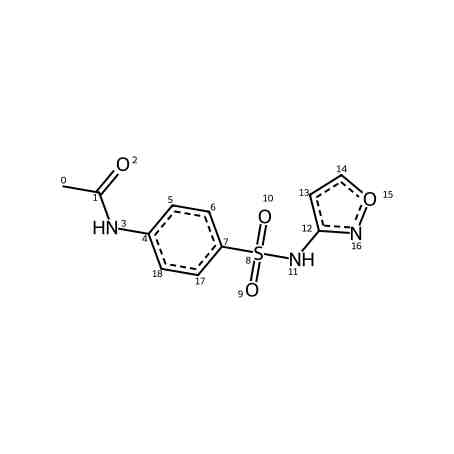 CC(=O)Nc1ccc(S(=O)(=O)Nc2ccon2)cc1